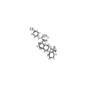 CC(Cc1ccc(Cl)cc1)Nc1ncnc2cc(-c3ncccc3C(F)(F)F)ccc12